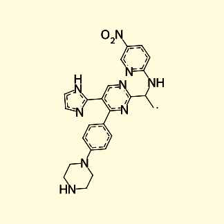 [CH2]C(Nc1ccc([N+](=O)[O-])cn1)c1ncc(-c2ncc[nH]2)c(-c2ccc(N3CCNCC3)cc2)n1